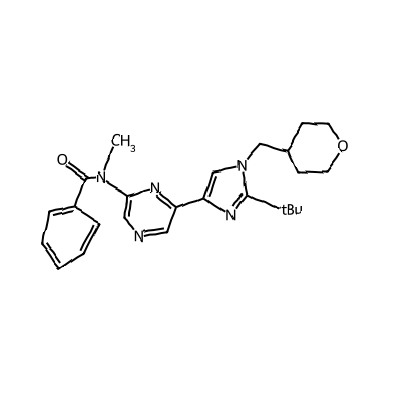 CN(C(=O)c1ccccc1)c1cncc(-c2cn(CC3CCOCC3)c(C(C)(C)C)n2)n1